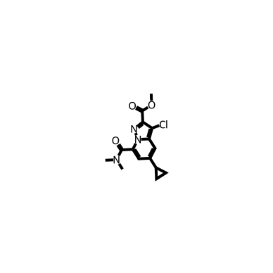 COC(=O)c1nn2c(C(=O)N(C)C)cc(C3CC3)cc2c1Cl